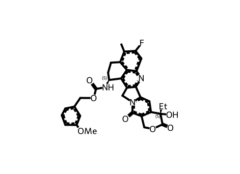 CC[C@@]1(O)C(=O)OCc2c1cc1n(c2=O)Cc2c-1nc1cc(F)c(C)c3c1c2[C@@H](NC(=O)OCc1cccc(OC)c1)CC3